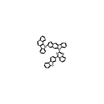 c1ccc2c(c1)ccc1c3ccccc3n(-c3ccc4cc5c6ccccc6n(-c6nc(-c7ccc8c(c7)sc7ccccc78)c7ccccc7n6)c5cc4c3)c21